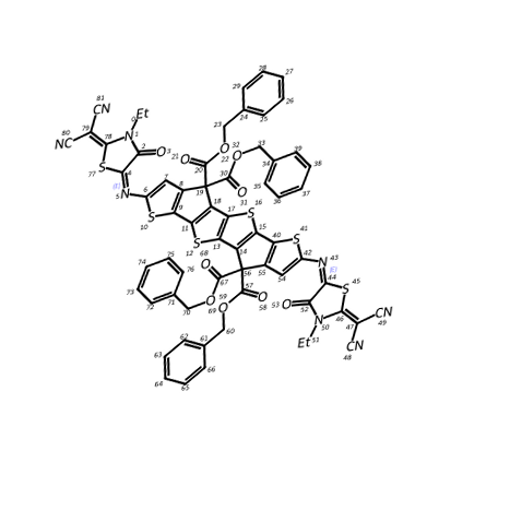 CCN1C(=O)/C(=N\c2cc3c(s2)-c2sc4c5c(sc4c2C3(C(=O)OCc2ccccc2)C(=O)OCc2ccccc2)-c2sc(/N=C3/SC(=C(C#N)C#N)N(CC)C3=O)cc2C5(C(=O)OCc2ccccc2)C(=O)OCc2ccccc2)SC1=C(C#N)C#N